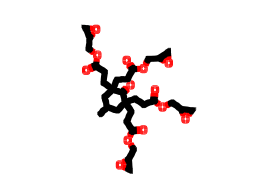 CC1CC(CCC(=O)OCC2CO2)(CCC(=O)OCC2CO2)C(=O)C(CCC(=O)OCC2CO2)(CCC(=O)OCC2CO2)C1